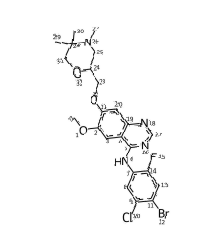 COc1cc2c(Nc3cc(Cl)c(Br)cc3F)ncnc2cc1OCC1CN(C)C(C)(C)CO1